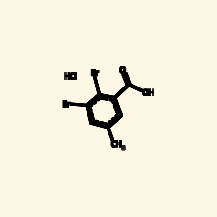 Cc1cc(Br)c(Br)c(C(=O)O)c1.Cl